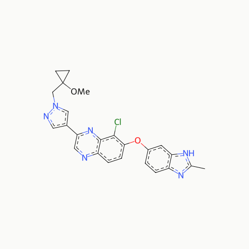 COC1(Cn2cc(-c3cnc4ccc(Oc5ccc6nc(C)[nH]c6c5)c(Cl)c4n3)cn2)CC1